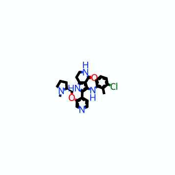 Cc1c(Cl)cccc1Nc1c(-c2ccncc2OC[C@@H]2CCCN2C)[nH]c2c1C(=O)NCC2